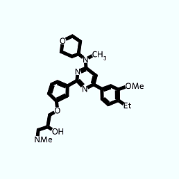 CCc1ccc(-c2cc(N(C)C3CCOCC3)nc(-c3cccc(OCC(O)CNC)c3)n2)cc1OC